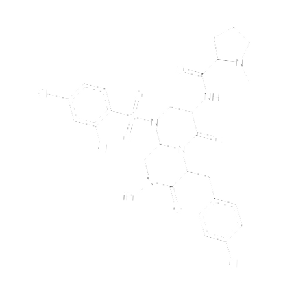 CC(C)N1CC2N(C(=O)C(NC(=O)C3CCCN3C)CN2S(=O)(=O)c2ccc(Cl)cc2Cl)C(Cc2ccc(Cl)cc2)C1=O